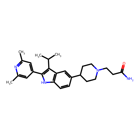 Cc1cc(-c2[nH]c3ccc(C4CCN(CCC(N)=O)CC4)cc3c2C(C)C)cc(C)n1